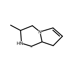 CC1CN2C=CCC2[C]N1